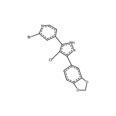 Clc1c(-c2ccc3c(c2)OCO3)n[nH]c1-c1ccnc(Br)c1